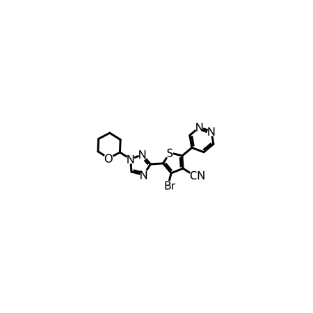 N#Cc1c(-c2ccnnc2)sc(-c2ncn(C3CCCCO3)n2)c1Br